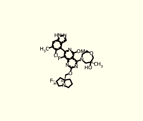 COc1nc(-c2c(Cl)c(C)cc3[nH]ncc23)c(F)c2nc(OC[C@@]34CCCN3C[C@H](F)C4)nc(N3CCOC[C@@](C)(O)C3)c12